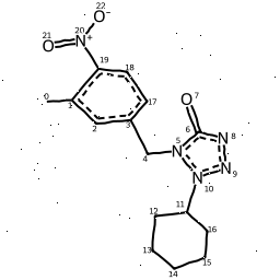 Cc1cc(Cn2c(=O)nnn2C2CCCCC2)ccc1[N+](=O)[O-]